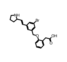 O=C(O)Cc1ccccc1OCc1cc(Br)cc(/C=C/C2CCCN2)c1